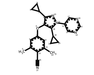 Cc1cc(Oc2c(C3CC3)nn(-c3cncnc3)c2C2CC2)cc(C)c1C#N